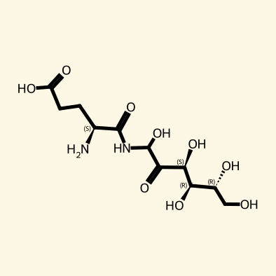 N[C@@H](CCC(=O)O)C(=O)NC(O)C(=O)[C@@H](O)[C@H](O)[C@H](O)CO